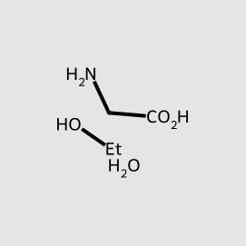 CCO.NCC(=O)O.O